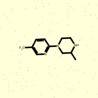 CC1CN(c2ccc(C(F)(F)F)cn2)CCN1